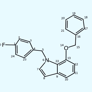 Fc1ccc(Cn2ccc3cccc(OCc4ccccc4)c32)cc1